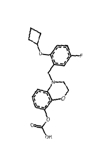 O=C(O)Oc1cccc2c1OCCN2Cc1cc(F)ccc1OC1CCC1